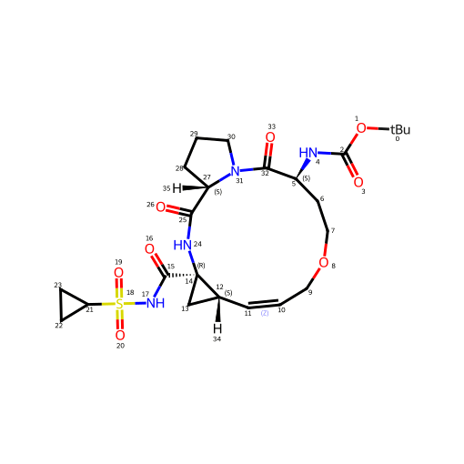 CC(C)(C)OC(=O)N[C@H]1CCOC/C=C\[C@@H]2C[C@@]2(C(=O)NS(=O)(=O)C2CC2)NC(=O)[C@@H]2CCCN2C1=O